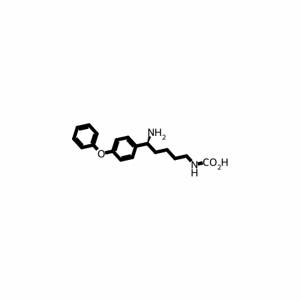 N[C@@H](CCCCNC(=O)O)c1ccc(Oc2ccccc2)cc1